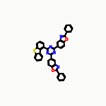 c1ccc(-c2nc3cc(-c4nc(-c5ccc6oc(-c7ccccc7)nc6c5)nc(-c5cccc6sc7ccccc7c56)n4)ccc3o2)cc1